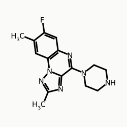 Cc1nc2c(N3CCNCC3)nc3cc(F)c(C)cc3n2n1